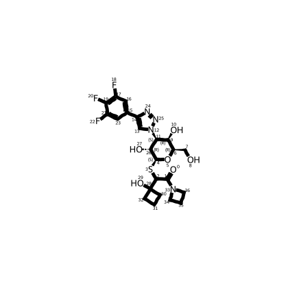 O=C(C(S[C@@H]1O[C@H](CO)[C@H](O)[C@H](n2cc(-c3cc(F)c(F)c(F)c3)nn2)[C@H]1O)C1(O)CCC1)N1CCC1